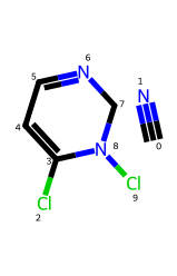 C#N.ClC1=CC=NCN1Cl